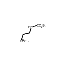 CCCCCCCNC(=O)OCC